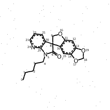 CCCCCN1C(=O)C2(COc3cc4c(cc32)OCO4)c2cccnc21